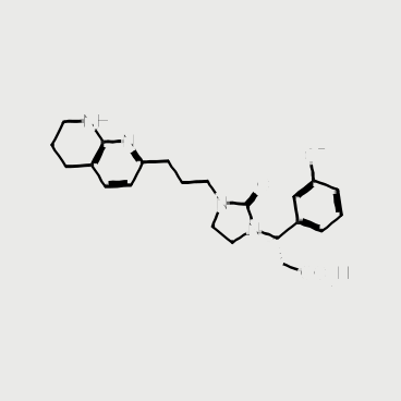 O=C(O)C[C@@H](c1cccc(C(F)(F)F)c1)N1CCN(CCCc2ccc3c(n2)NCCC3)C1=O